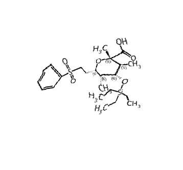 CC[Si](CC)(CC)O[C@@H]1[C@H](C)[C@H](CCS(=O)(=O)c2ccccc2)O[C@](C)(C(=O)O)[C@H]1C